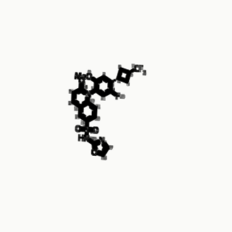 COc1cc([C@H]2C[C@H](C(F)(F)F)C2)c(F)cc1-n1c(=O)ccc2cc(S(=O)(=O)Nc3ncco3)ccc21